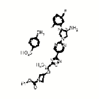 CC(C)OC(=O)N1CC(O[C@H](C)c2nc(-c3cnc(N4C[C@H](c5cc(F)ccc5F)[C@@H](N)C4)nc3)no2)C1.Cc1ccc(S(=O)(=O)O)cc1